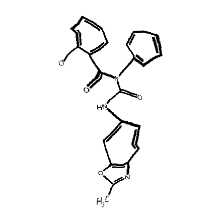 Cc1nc2ccc(NC(=O)N(C(=O)c3ccccc3Cl)c3ccccc3)cc2o1